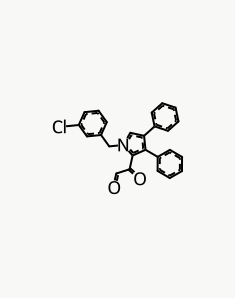 O=CC(=O)c1c(-c2ccccc2)c(-c2ccccc2)cn1Cc1cccc(Cl)c1